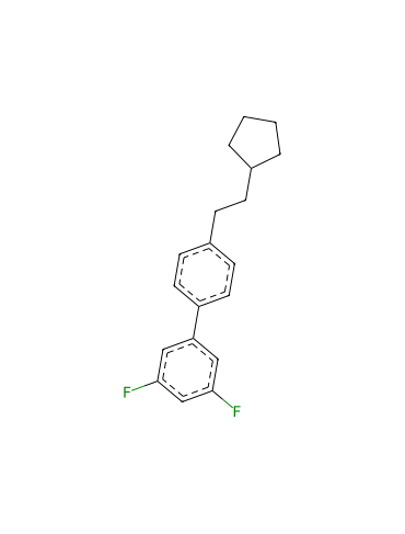 Fc1cc(F)cc(-c2ccc(CCC3CCCC3)cc2)c1